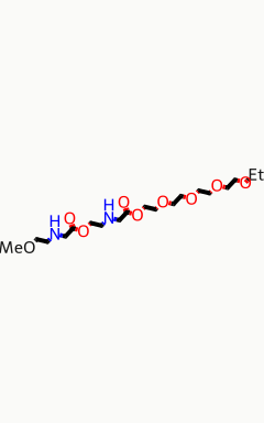 CCOCCOCCOCCOCCOC(=O)CNCCOC(=O)CNCCOC